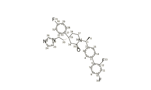 C[C@@H](c1ccc(-c2ccc(F)cc2F)cc1)N1CC[C@](CCn2ccnc2)(c2ccc(F)cc2)CC1=O